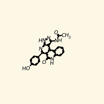 CC(=O)Nc1n[nH]c2nc(-c3ccc(O)cc3)c3c(=O)[nH]c4ccccc4c3c12